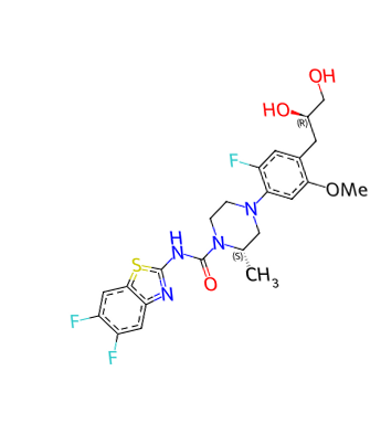 COc1cc(N2CCN(C(=O)Nc3nc4cc(F)c(F)cc4s3)[C@@H](C)C2)c(F)cc1C[C@@H](O)CO